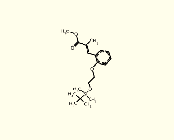 COC(=O)/C(C)=C/c1ccccc1OCCO[Si](C)(C)C(C)(C)C